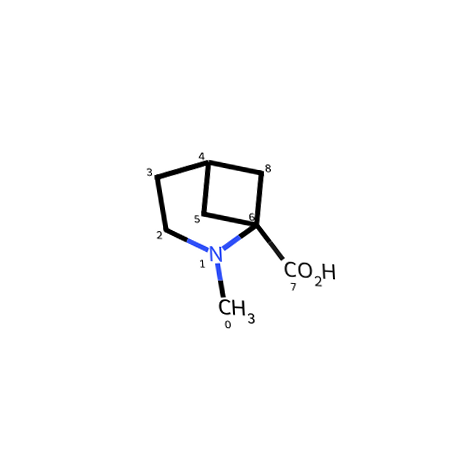 CN1CCC2CC1(C(=O)O)C2